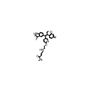 CC/C(=C(/c1ccc(OCCNC/C=C/C(=O)N(C)C)nc1)c1ccc2[nH]nc(F)c2c1)c1ccc(F)cc1Cl